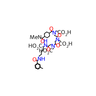 CNC(=O)C1CCC(C(=O)N(CC(=O)O)CC(=O)N(CC(=O)O)CC(=O)N(CC(=O)O)CC(=O)N[C@H](CCCCNC(=O)c2cccc(C)c2)C(=O)O)CC1